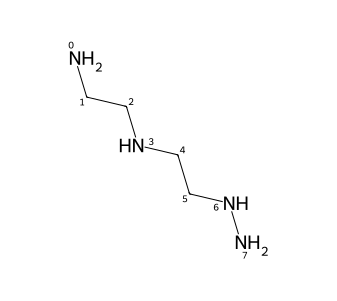 NCCNCCNN